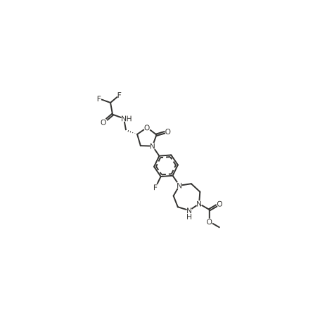 COC(=O)N1CCN(c2ccc(N3C[C@H](CNC(=O)C(F)F)OC3=O)cc2F)CCN1